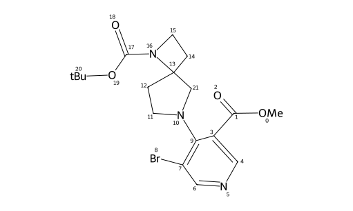 COC(=O)c1cncc(Br)c1N1CCC2(CCN2C(=O)OC(C)(C)C)C1